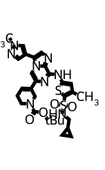 Cc1cc(Nc2nc(C3=CCCN(C(=O)OC(C)(C)C)C3)cn3c(-c4cnn(C)c4)cnc23)sc1S(=O)(=O)NCC1CC1